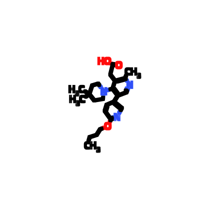 CCCCOc1ccc(-c2cnc(C)c(CC(=O)O)c2N2CCC(C)(C)CC2)cn1